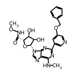 CNc1nc(-c2cncc(OCc3ccccc3)c2)nc2c1ncn2[C@@H]1O[C@H](C(=O)NOC)[C@@H](O)[C@H]1O